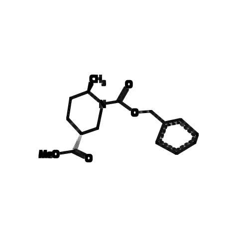 COC(=O)[C@@H]1CC[C@@H](C)N(C(=O)OCc2ccccc2)C1